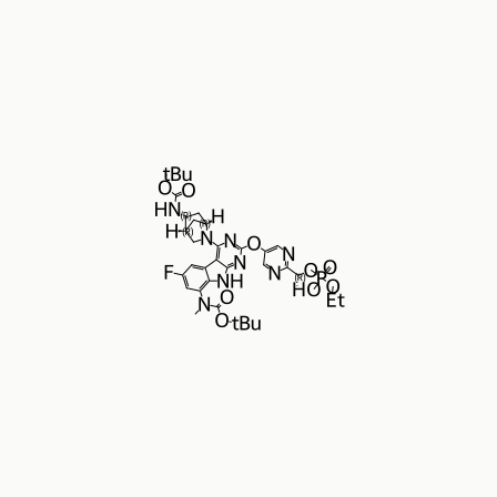 CCOP(=O)(O)O[C@H](C)c1ncc(Oc2nc(N3C[C@H]4C[C@@H]3C[C@H]4NC(=O)OC(C)(C)C)c3c(n2)[nH]c2c(N(C)C(=O)OC(C)(C)C)cc(F)cc23)cn1